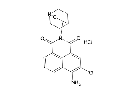 Cl.Nc1c(Cl)cc2c3c(cccc13)C(=O)N(C1CN3CCC1CC3)C2=O